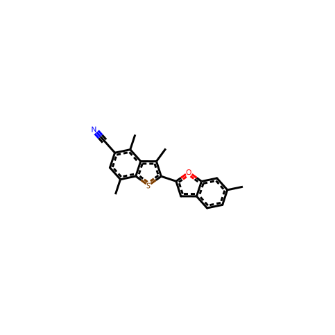 Cc1ccc2cc(-c3sc4c(C)cc(C#N)c(C)c4c3C)oc2c1